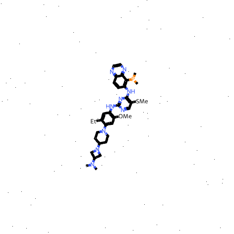 CCc1cc(Nc2ncc(SC)c(Nc3ccc4nccnc4c3P(C)C)n2)c(OC)cc1N1CCC(N2CC(N(C)C)C2)CC1